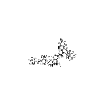 COc1cc(-c2cnc(N)c(-c3ccc(NC(=O)c4cn(CC5(C)CCOCC5)cc(-c5ccc(F)cc5F)c4=O)cc3)c2)ccc1OC[C@H]1COCCO1